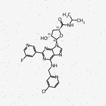 CC(C)NC(=O)[C@@H]1C[C@@H](O)[C@H](n2cnc3c(NCc4cc(Cl)ccn4)nc(-c4cncc(F)c4)nc32)O1